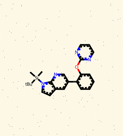 CC(C)(C)[Si](C)(C)n1ccc2cc(-c3ccccc3Oc3ncccn3)cnc21